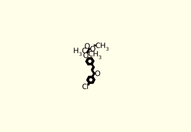 CCOC(=O)C(C)(C)Oc1ccc(C=CC(=O)c2ccc(Cl)cc2)cc1